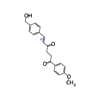 COc1ccc(C(=O)CCC(=O)/C=C/c2ccc(CO)cc2)cc1